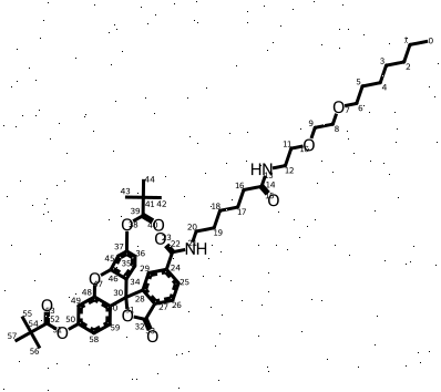 CCCCCCCOCCOCCNC(=O)CCCCCNC(=O)c1ccc2c(c1)C1(OC2=O)c2ccc(OC(=O)C(C)(C)C)cc2Oc2cc(OC(=O)C(C)(C)C)ccc21